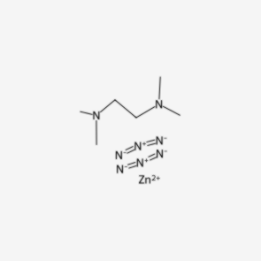 CN(C)CCN(C)C.[N-]=[N+]=[N-].[N-]=[N+]=[N-].[Zn+2]